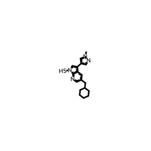 Cn1cc(-c2cn(S)c3ncc(CC4CCCCC4)cc23)cn1